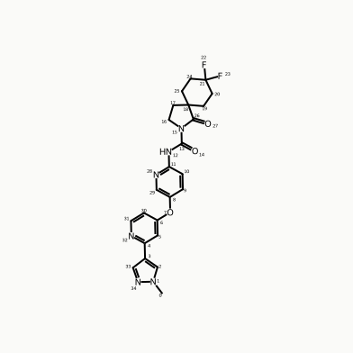 Cn1cc(-c2cc(Oc3ccc(NC(=O)N4CCC5(CCC(F)(F)CC5)C4=O)nc3)ccn2)cn1